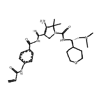 C=CC(=O)Nc1ccc(C(=O)NC(=N)C2=C(N)C(C)(C)N(C(=O)N[C@H](CN(C)C)C3CCOCC3)C2)cc1